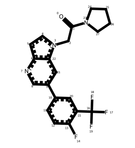 O=C(Cn1ccc2ncc(-c3ccc(F)c(C(F)(F)F)c3)cc21)N1CCCC1